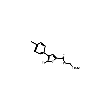 CCc1sc(C(=O)NCOC)cc1-c1ccc(C)cc1